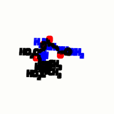 CC(C)(CC(=O)O)CC(C)(C)CC(=O)NC(CS(=O)(=O)O)C(=O)NC(CCC(=O)NC(CCCCNC(=O)c1ccc(N)cc1)C(N)=O)C(=O)O